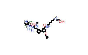 CCn1nc(-c2cccc(-c3cc(OCC4CC4)cc(C(=O)NCCCCCCCN(C)CCO)c3)c2)cc(NC(=O)Nc2c(Cl)cncc2Cl)c1=O